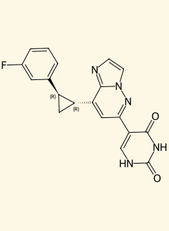 O=c1[nH]cc(-c2cc([C@@H]3C[C@H]3c3cccc(F)c3)c3nccn3n2)c(=O)[nH]1